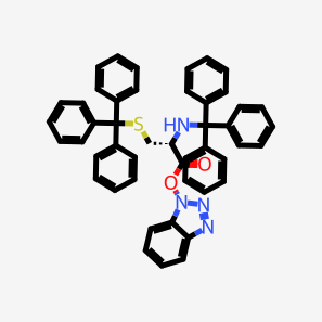 O=C(On1nnc2ccccc21)[C@H](CSC(c1ccccc1)(c1ccccc1)c1ccccc1)NC(c1ccccc1)(c1ccccc1)c1ccccc1